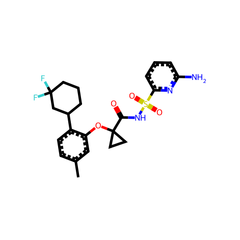 Cc1ccc(C2CCCC(F)(F)C2)c(OC2(C(=O)NS(=O)(=O)c3cccc(N)n3)CC2)c1